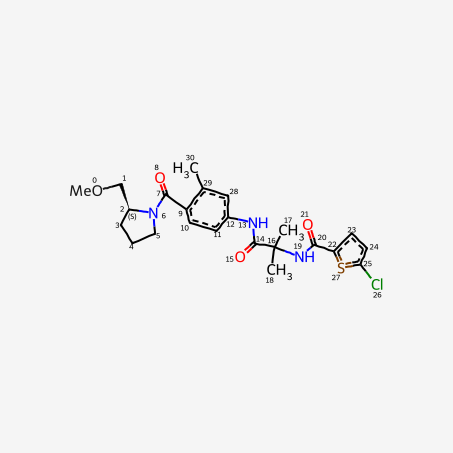 COC[C@@H]1CCCN1C(=O)c1ccc(NC(=O)C(C)(C)NC(=O)c2ccc(Cl)s2)cc1C